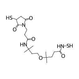 CC(C)(CCOC(C)(C)CCC(=O)NS)NC(=O)CCN1C(=O)CC(S)C1=O